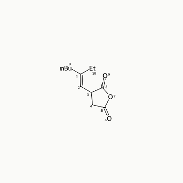 CCCCC(=CC1CC(=O)OC1=O)CC